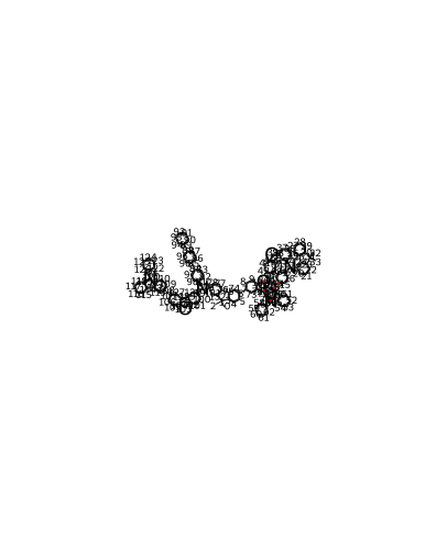 CC1(C)c2ccc(-c3ccc4oc5c(-c6ccc(N(c7cccc8c7-c7ccccc7C8(C)C)c7cccc8oc9ccc(-c%10ccc%11c(c%10)c%10ccccc%10n%11-c%10ccccc%10)cc9c78)cc6)cccc5c4c3)cc2-c2ccc(N(c3ccc(-c4ccc(-c5ccccc5)cc4)cc3)c3ccc4oc5ccc(-c6ccc7c(c6)c6ccccc6n7-c6ccccc6)cc5c4c3)cc21